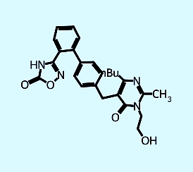 CCCCc1nc(C)n(CCO)c(=O)c1Cc1ccc(-c2ccccc2-c2noc(=O)[nH]2)cc1